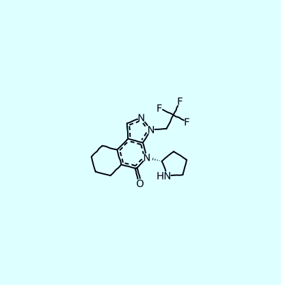 O=c1c2c(c3cnn(CC(F)(F)F)c3n1[C@@H]1CCCN1)CCCC2